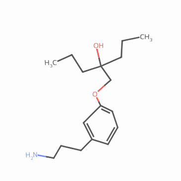 CCCC(O)(CCC)COc1cccc(CCCN)c1